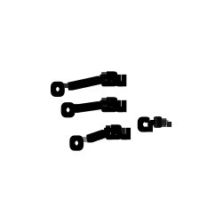 CC(C)(C)[O-].CC(C)(C)[O-].CC(C)(C)[O-].[Cr+3]